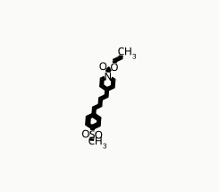 CCCOC(=O)N1CCC(CCCCc2ccc(S(C)(=O)=O)cc2)CC1